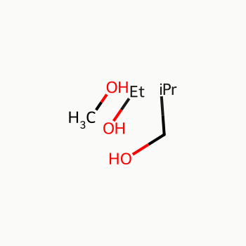 CC(C)CO.CCO.CO